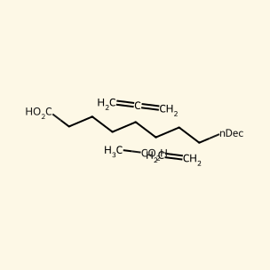 C=C.C=C=C.CC(=O)O.CCCCCCCCCCCCCCCCCC(=O)O